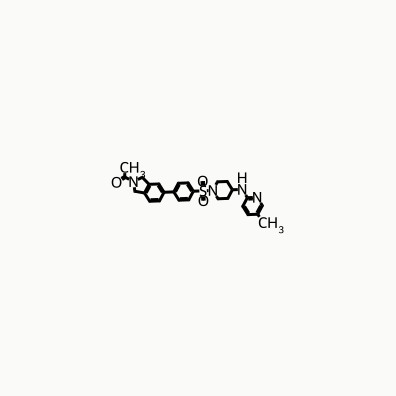 CC(=O)N1Cc2ccc(-c3ccc(S(=O)(=O)N4CCC(Nc5ccc(C)cn5)CC4)cc3)cc2C1